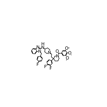 COc1cc(C(=O)N2CCCC(CCN3CCC(Nc4nc5ccccc5n4Cc4ccc(F)cc4)CC3)(c3ccc(F)c(F)c3)C2)cc(OC)c1OC